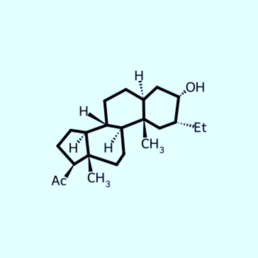 CC[C@@H]1C[C@@]2(C)[C@@H](CC[C@@H]3[C@@H]2CC[C@]2(C)[C@@H](C(C)=O)CC[C@@H]32)C[C@@H]1O